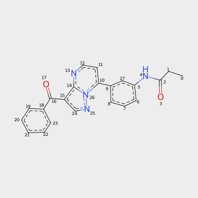 CCC(=O)Nc1cccc(-c2ccnc3c(C(=O)c4ccccc4)cnn23)c1